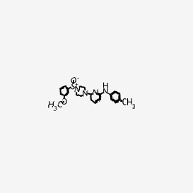 COc1cccc([S+]([O-])N2CCN(C3CC=CC(Nc4ccc(C)cc4)=N3)CC2)c1